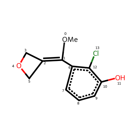 COC(=C1COC1)c1cccc(O)c1Cl